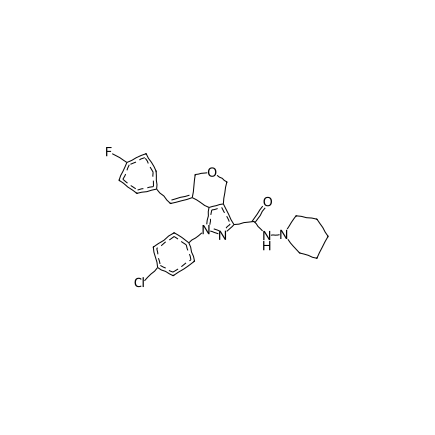 O=C(NN1CCCCC1)c1nn(-c2ccc(Cl)cc2)c2c1COCC2=Cc1ccc(F)cc1